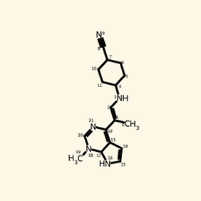 C/C(=C\NC1CCC(C#N)CC1)C1=C2C=CNC2N(C)C=N1